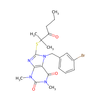 CCCC(=O)C(C)(C)Sc1nc2c(c(=O)n(C)c(=O)n2C)n1Cc1cccc(Br)c1